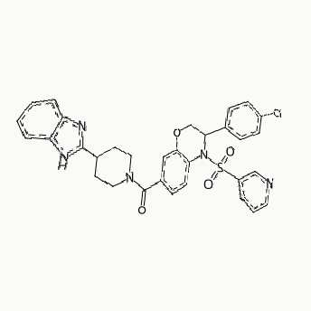 O=C(c1ccc2c(c1)OCC(c1ccc(Cl)cc1)N2S(=O)(=O)c1cccnc1)N1CCC(c2nc3ccccc3[nH]2)CC1